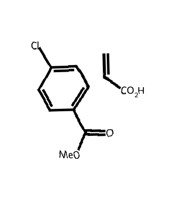 C=CC(=O)O.COC(=O)c1ccc(Cl)cc1